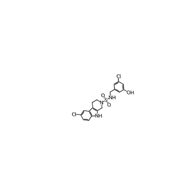 O=S(=O)(NCc1cc(O)cc(Cl)c1)N1CCc2c([nH]c3ccc(Cl)cc23)C1